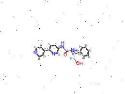 O=C(Nc1ccc(-c2ccncc2)nc1)N[C@@H](CO)c1ccccc1